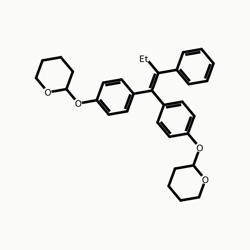 CCC(=C(c1ccc(OC2CCCCO2)cc1)c1ccc(OC2CCCCO2)cc1)c1ccccc1